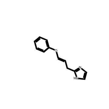 C(=COc1ccccc1)Cc1ncc[nH]1